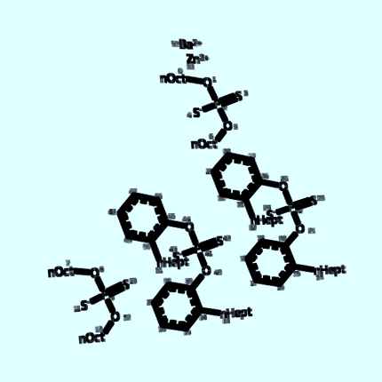 CCCCCCCCOP(=S)([S-])OCCCCCCCC.CCCCCCCCOP(=S)([S-])OCCCCCCCC.CCCCCCCc1ccccc1OP(=S)([S-])Oc1ccccc1CCCCCCC.CCCCCCCc1ccccc1OP(=S)([S-])Oc1ccccc1CCCCCCC.[Ba+2].[Zn+2]